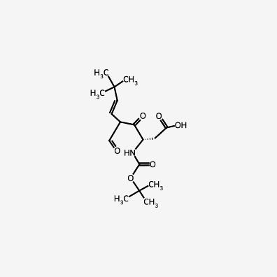 CC(C)(C)C=CC(C=O)C(=O)[C@H](CC(=O)O)NC(=O)OC(C)(C)C